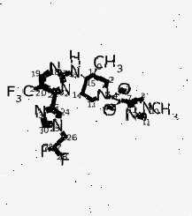 C[C@@H]1CN(S(=O)(=O)c2cn(C)cn2)CC[C@@H]1Nc1ncc(C(F)(F)F)c(-c2cn(CC(F)F)cn2)n1